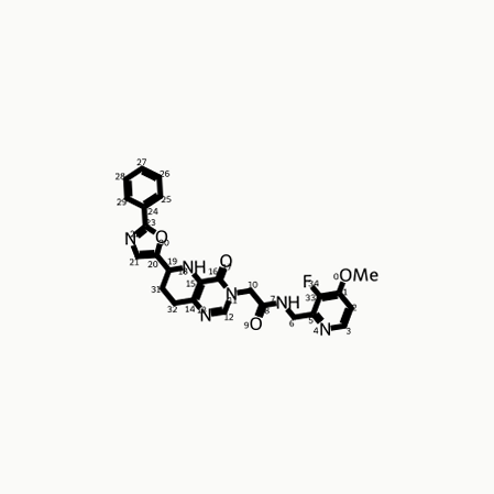 COc1ccnc(CNC(=O)Cn2cnc3c(c2=O)NC(c2cnc(-c4ccccc4)o2)CC3)c1F